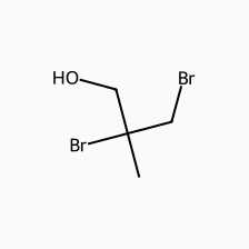 CC(Br)(CO)CBr